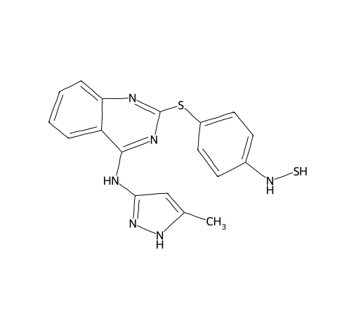 Cc1cc(Nc2nc(Sc3ccc(NS)cc3)nc3ccccc23)n[nH]1